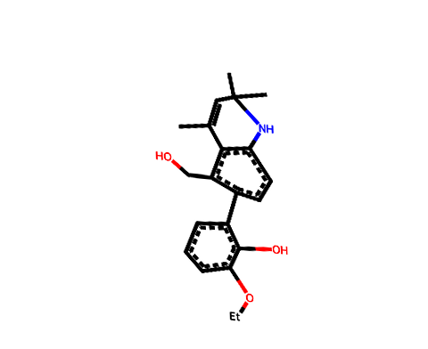 CCOc1cccc(-c2ccc3c(c2CO)C(C)=CC(C)(C)N3)c1O